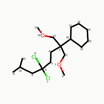 COCC(CCC(Cl)(Cl)CC(C)C)(COC)C1CCCCC1